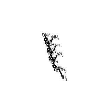 COc1ccc(C(=O)N[C@H](CCCCN)C(=O)Nc2cc(C(=O)N[C@H](CCCCN)C(=O)Nc3cc(C(=O)N[C@H](CCCCN)C(=O)Nc4cc(C(N)=O)ccc4OC)ccc3OC)ccc2OC)cc1NC(=O)[C@H](N)CCCCN